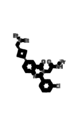 CCN(CC)C[C@H]1C[C@H](c2ccc3nc(-c4cccc(Cl)c4)n(CC(=O)NC(C)C)c(=O)c3c2)C1